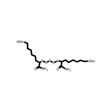 CCCCCCCCCCCCCCCCC(SSSSSC(CCCCCCCCCCCCCCCC)C(N)=O)C(N)=O